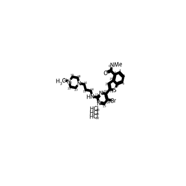 CNC(=O)c1cccc2sc(-c3nc(NCCCN4CCN(C)CC4)ncc3Br)cc12.Cl.Cl.Cl